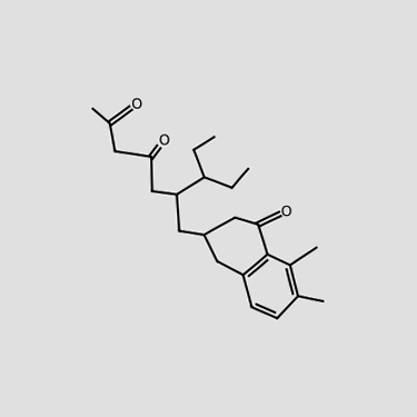 CCC(CC)C(CC(=O)CC(C)=O)CC1CC(=O)c2c(ccc(C)c2C)C1